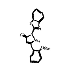 COc1ccccc1-c1cc(=O)n(-c2nc3ccccc3s2)[nH]1